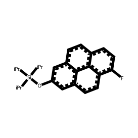 CC(C)[Si](Oc1cc2ccc3c[c]c(F)c4ccc(c1)c2c34)(C(C)C)C(C)C